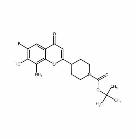 CC(C)(C)OC(=O)N1CCC(c2cc(=O)c3cc(F)c(O)c(N)c3o2)CC1